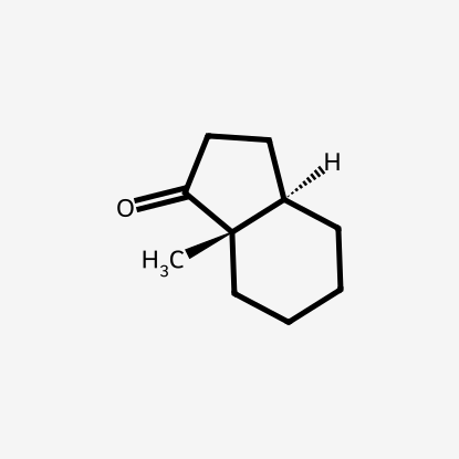 C[C@]12CCCC[C@@H]1CCC2=O